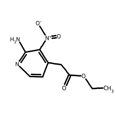 CCOC(=O)Cc1ccnc(N)c1[N+](=O)[O-]